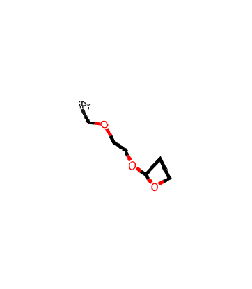 CC(C)COCCOC1CCO1